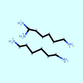 NCCCCCC(N)N.NCCCCCCN